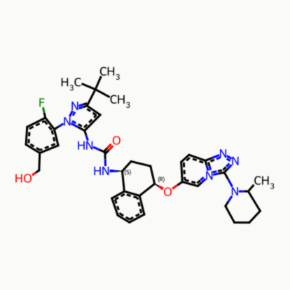 CC1CCCCN1c1nnc2ccc(O[C@@H]3CC[C@H](NC(=O)Nc4cc(C(C)(C)C)nn4-c4cc(CO)ccc4F)c4ccccc43)cn12